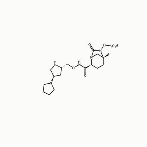 O=C(NOC[C@@H]1C[C@@H](N2CCCC2)CN1)[C@@H]1CC[C@@H]2CN1C(=O)N2OS(=O)(=O)O